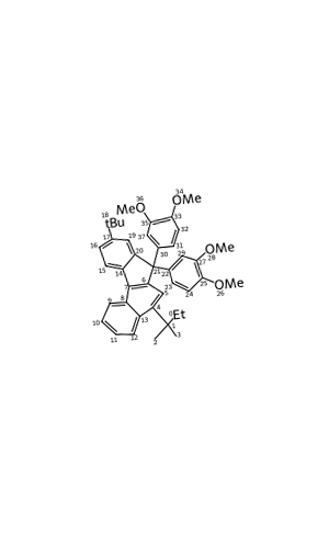 CCC(C)(C)c1cc2c(c3ccccc13)-c1ccc(C(C)(C)C)cc1C2(c1ccc(OC)c(OC)c1)c1ccc(OC)c(OC)c1